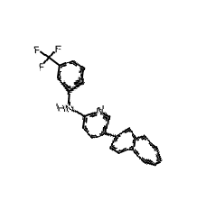 FC(F)(F)c1cccc(Nc2ccc(-c3ccc4ccccc4c3)cn2)c1